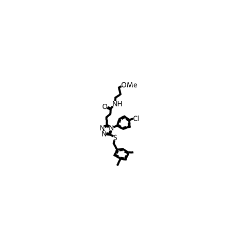 COCCCNC(=O)CCc1nnc(SCc2cc(C)cc(C)c2)n1-c1ccc(Cl)cc1